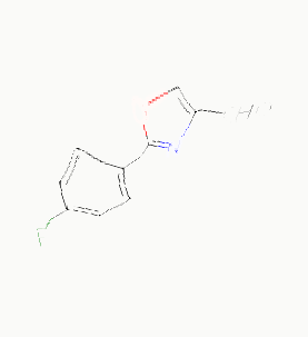 O=Cc1coc(-c2ccc(F)cc2)n1